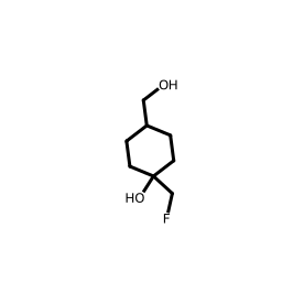 OCC1CCC(O)(CF)CC1